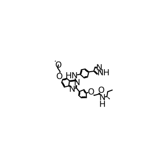 CC[C@@H](C)NC(=O)COc1cccc(-c2nc(Nc3ccc(-c4cn[nH]c4)cc3)c3cc(OCCOC)ccc3n2)c1